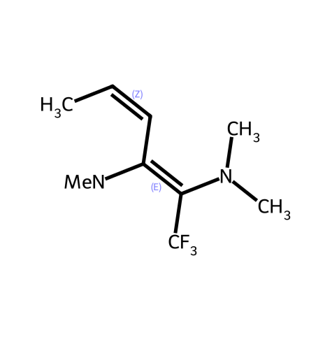 C/C=C\C(NC)=C(/N(C)C)C(F)(F)F